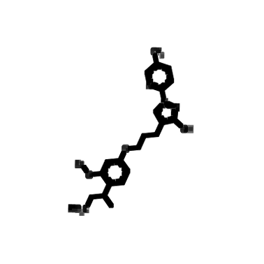 CCOc1cc(OCCCc2cn(-c3ccc(C(F)(F)F)cn3)nc2O)ccc1C(C)CC(=O)O